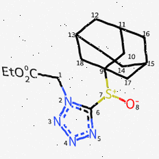 CCOC(=O)Cn1nnnc1[S+]([O-])C12CC3CC(CC(C3)C1)C2